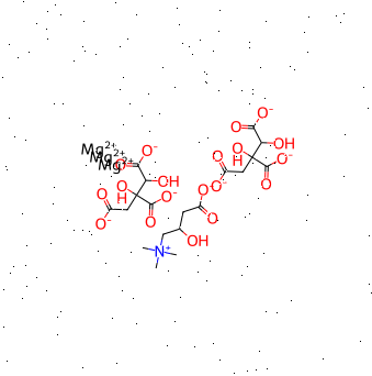 C[N+](C)(C)CC(O)CC(=O)[O-].O=C([O-])CC(O)(C(=O)[O-])C(O)C(=O)[O-].O=C([O-])CC(O)(C(=O)[O-])C(O)C(=O)[O-].[Mg+2].[Mg+2].[Mg+2]